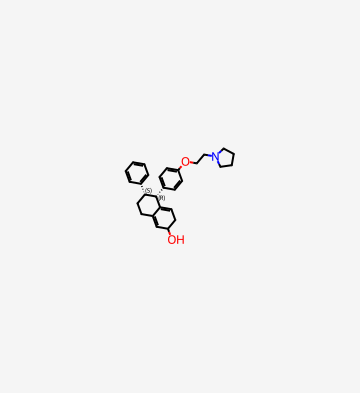 OC1C=C2CC[C@H](c3ccccc3)[C@H](c3ccc(OCCN4CCCC4)cc3)C2=CC1